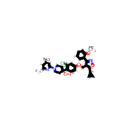 O=Nc1cc(N2CCC(O)(c3ccc(OCc4c(-c5ccccc5OC(F)(F)F)noc4C4CC4)cc3Cl)CC2)nc(C(F)(F)F)c1